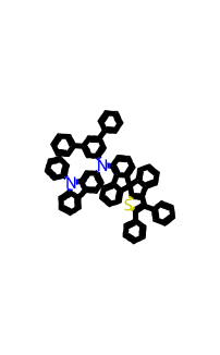 c1ccc(-c2cc(-c3ccccc3)cc(N(c3ccc4c5ccccc5n(-c5ccccc5)c4c3)c3cccc4c3-c3ccccc3C43c4ccccc4-c4c3sc(-c3ccccc3)c4-c3ccccc3)c2)cc1